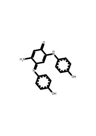 NC1=CC(=O)C(Nc2ccc(O)cc2)=C/C1=N\c1ccc(O)cc1